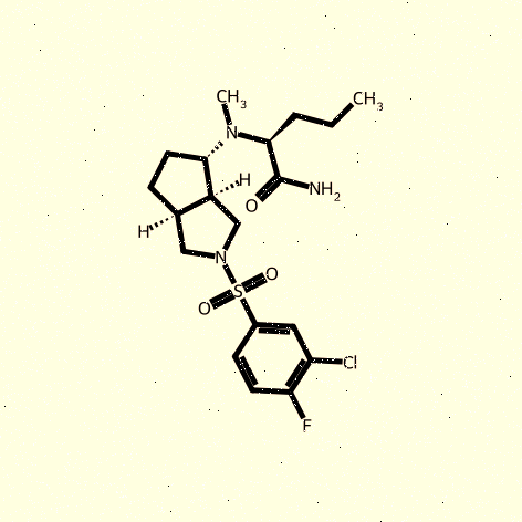 CCC[C@@H](C(N)=O)N(C)[C@H]1CC[C@@H]2CN(S(=O)(=O)c3ccc(F)c(Cl)c3)C[C@@H]21